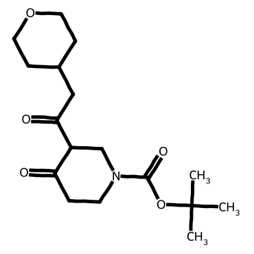 CC(C)(C)OC(=O)N1CCC(=O)C(C(=O)CC2CCOCC2)C1